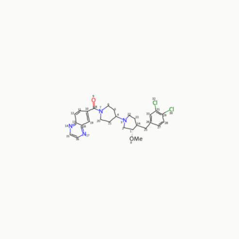 CO[C@@H]1CN(C2CCN(C(=O)c3ccc4nccnc4c3)CC2)CCC1Cc1ccc(Cl)c(Cl)c1